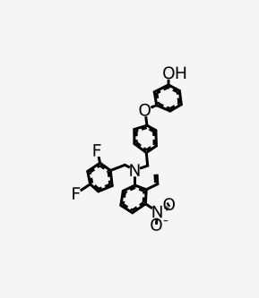 C=Cc1c(N(Cc2ccc(Oc3cccc(O)c3)cc2)Cc2ccc(F)cc2F)cccc1[N+](=O)[O-]